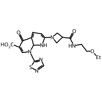 CCOCCNC(=O)C1CN(C2=CC=C3C(=O)C(C(=O)O)=CN(c4ncns4)C3N2)C1